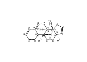 C[C@@]12C=CC[C@H]1[C@@H]1CC=C3C=[C]CC[C@]3(C)[C@H]1CC2